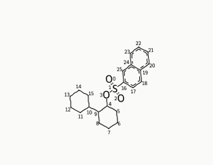 O=S(=O)(OC1CCCCC1C1CCCCC1)c1ccc2ccccc2c1